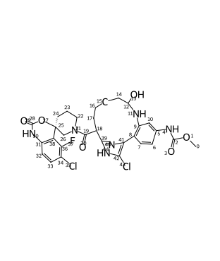 COC(=O)Nc1ccc2c(c1)NC(O)CCCCC(C(=O)N1CCC[C@@]3(C1)OC(=O)Nc1ccc(Cl)c(F)c13)c1nc-2c(Cl)[nH]1